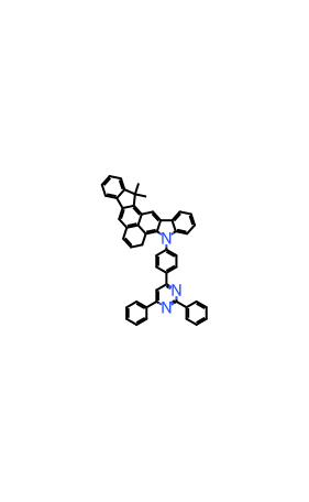 CC1(C)c2ccccc2-c2cc3c4c(c5c(cc4c21)c1ccccc1n5-c1ccc(-c2cc(-c4ccccc4)nc(-c4ccccc4)n2)cc1)CC=C3